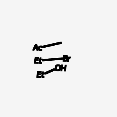 CC(C)=O.CCBr.CCO